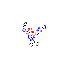 O=C(Nc1cccnc1)N[C@@H]1CCN(c2nc(NCC(c3ccccc3)c3ccccc3)c3ncn([C@@H]4O[C@H](c5nnn(Cc6ccccc6)n5)[C@@H](O)[C@@H]4O)c3n2)C1